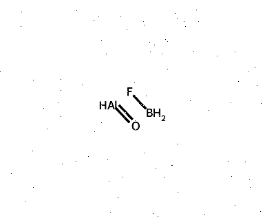 BF.[O]=[AlH]